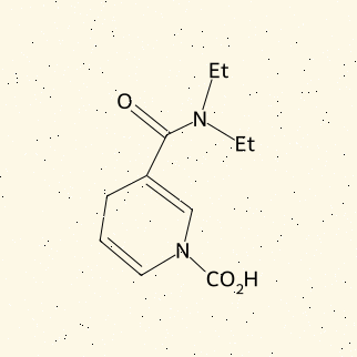 CCN(CC)C(=O)C1=CN(C(=O)O)C=CC1